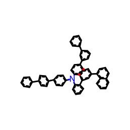 c1ccc(-c2ccc(-c3ccc(N(c4ccc(-c5cccc(-c6ccccc6)c5)cc4)c4ccccc4-c4cccc(-c5cccc6ccccc56)c4)cc3)cc2)cc1